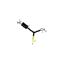 C#CC(C)S